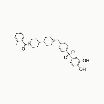 Cc1ccccc1C(=O)N1CCC(C2CCN(Cc3ccc(S(=O)(=O)c4ccc(O)c(O)c4)cc3)CC2)CC1